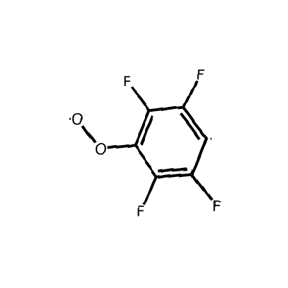 [O]Oc1c(F)c(F)[c]c(F)c1F